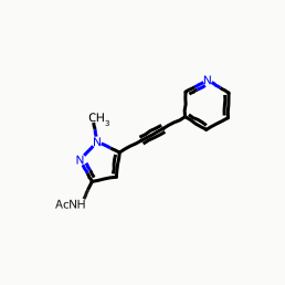 CC(=O)Nc1cc(C#Cc2cccnc2)n(C)n1